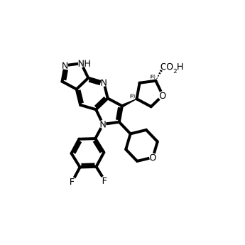 O=C(O)[C@H]1C[C@H](c2c(C3CCOCC3)n(-c3ccc(F)c(F)c3)c3cc4cn[nH]c4nc23)CO1